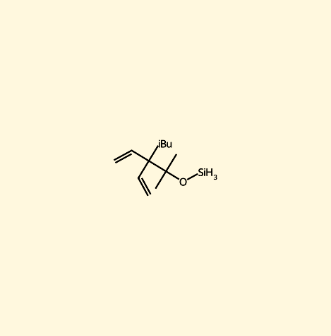 C=CC(C=C)(C(C)CC)C(C)(C)O[SiH3]